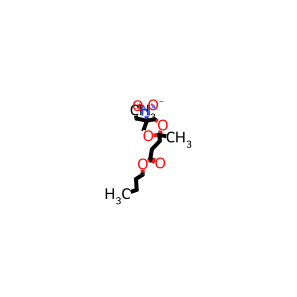 CCCCOC(=O)CCC1(C)OCC(CC)([N+](=O)[O-])CO1